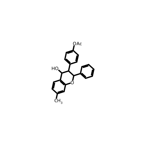 CC(=O)Oc1ccc(C2C(O)c3ccc(C)cc3OC2c2ccccc2)cc1